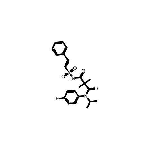 CC(C)N(C(=O)C(C)(C)C(=O)NS(=O)(=O)C=Cc1ccccc1)c1ccc(F)cc1